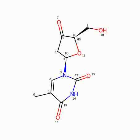 Cc1cn([C@H]2CC(=O)[C@@H](CO)O2)c(=O)[nH]c1=O